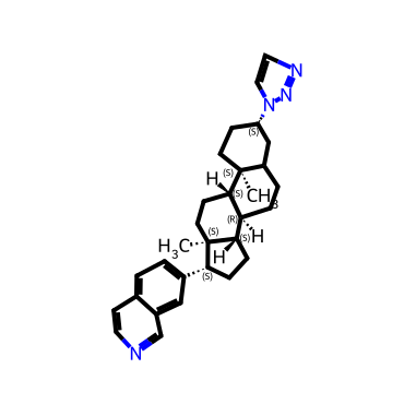 C[C@]12CC[C@H]3[C@@H](CCC4C[C@@H](n5ccnn5)CC[C@@]43C)[C@@H]1CC[C@@H]2c1ccc2ccncc2c1